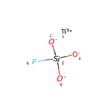 [O-][Si]([O-])([O-])F.[Tl+3]